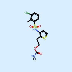 CCNC(=O)OCCc1sccc1NS(=O)(=O)c1cccc(Cl)c1C